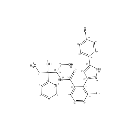 CCC(O)(c1ccccn1)[C@H](CO)NC(=O)c1cccc(F)c1-c1cc(-c2ccc(F)cc2)[nH]n1